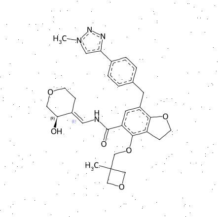 Cn1cc(-c2ccc(Cc3cc(C(=O)N/C=C4\CCOC[C@@H]4O)c(OCC4(C)COC4)c4c3OCC4)cc2)nn1